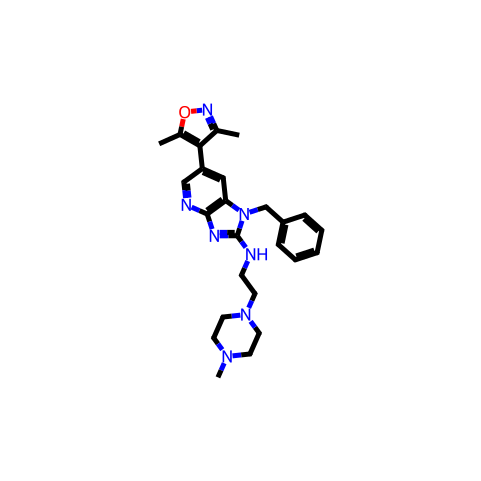 Cc1noc(C)c1-c1cnc2nc(NCCN3CCN(C)CC3)n(Cc3ccccc3)c2c1